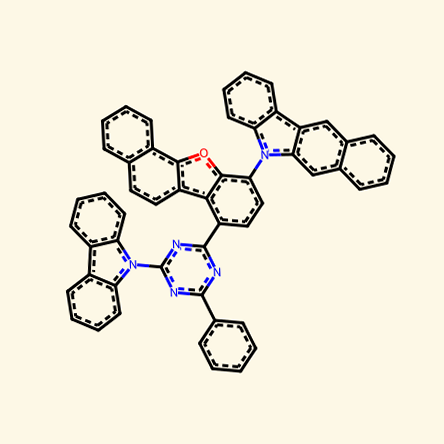 c1ccc(-c2nc(-c3ccc(-n4c5ccccc5c5cc6ccccc6cc54)c4oc5c6ccccc6ccc5c34)nc(-n3c4ccccc4c4ccccc43)n2)cc1